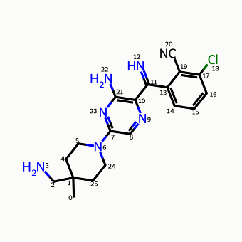 CC1(CN)CCN(c2cnc(C(=N)c3cccc(Cl)c3C#N)c(N)n2)CC1